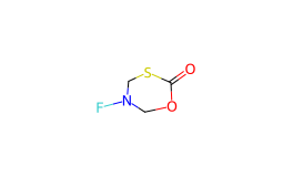 O=C1OCN(F)CS1